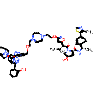 Cc1ncsc1-c1ccc([C@H](C)NC(=O)[C@@H]2C[C@@H](O)CN2C(=O)[C@@H](c2cc(OCCN3CCN(CCOCC#Cc4cc(N5C6CCC5CN(c5cc(-c7ccccc7O)nnc5N)C6)ccn4)CC3)no2)C(C)C)cc1